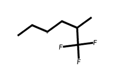 CC[CH]CC(C)C(F)(F)F